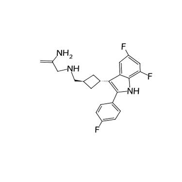 C=C(N)CNC[C@H]1C[C@H](c2c(-c3ccc(F)cc3)[nH]c3c(F)cc(F)cc32)C1